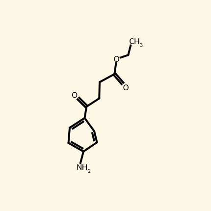 CCOC(=O)CCC(=O)c1ccc(N)cc1